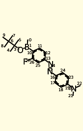 CB(OC(C)(C)C(C)(C)C)c1ccc(/N=N/c2ccc(N(C)C)cc2)cc1F